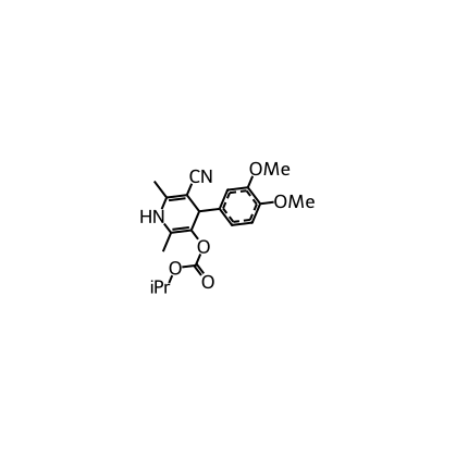 COc1ccc(C2C(C#N)=C(C)NC(C)=C2OC(=O)OC(C)C)cc1OC